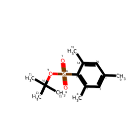 Cc1cc(C)c(S(=O)(=O)OC(C)(C)C)c(C)c1